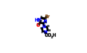 O=C(O)N1CCN(c2nc(Br)c[nH]c2=O)CC1